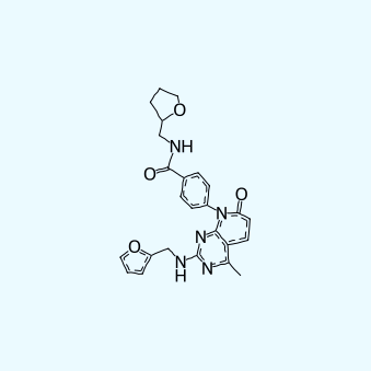 Cc1nc(NCc2ccco2)nc2c1ccc(=O)n2-c1ccc(C(=O)NCC2CCCO2)cc1